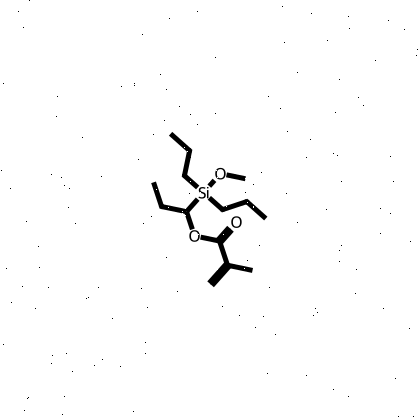 C=C(C)C(=O)OC(CC)[Si](CCC)(CCC)OC